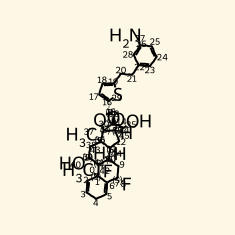 C[C@]12C=CCC=C1[C@@H](F)C[C@H]1[C@@H]3C[C@H]4O[C@@H](c5ccc(CCc6cccc(N)c6)s5)O[C@@]4(C(=O)CO)[C@@]3(C)C[C@H](O)[C@@]12F